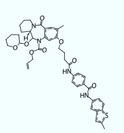 C=CCOC(=O)N1c2cc(OCCCC(=O)Nc3ccc(C(=O)Nc4ccc5sc(C)cc5c4)cc3)c(C)cc2C(=O)N2CCCC[C@H]2C1OC1CCCCO1